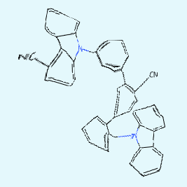 N#Cc1ccc(-c2ccccc2-n2c3ccccc3c3ccccc32)cc1-c1cccc(-n2c3ccccc3c3c(C#N)cccc32)c1